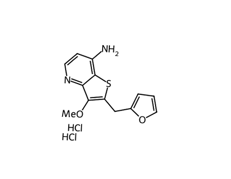 COc1c(Cc2ccco2)sc2c(N)ccnc12.Cl.Cl